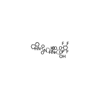 O=C(O)C[C@H](NC(=O)C1CCN(C(=O)C(=O)Nc2cccc3ccccc23)CC1)C(O)COc1c(F)c(F)cc(F)c1F